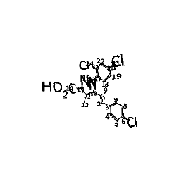 CC(=Cc1ccc(Cl)cc1)c1c(C)c(C(=O)O)nn1-c1ccc(Cl)cc1Cl